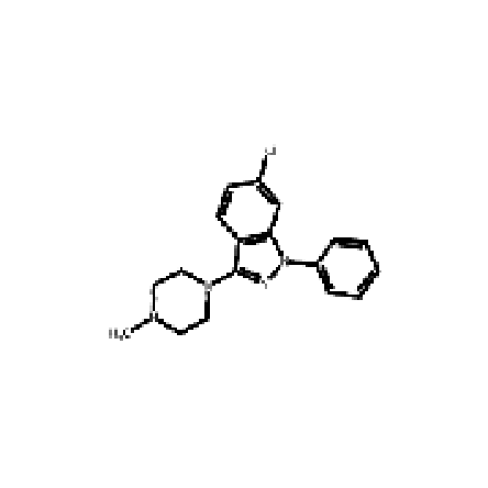 CN1CCN(c2nn(-c3ccccc3)c3cc(Cl)ccc23)CC1